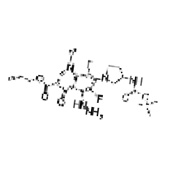 C=CCOC(=O)c1cn(C2CC2)c2c(F)c(N3CCC(NC(=O)OC(C)(C)C)C3)c(F)c(NN)c2c1=O